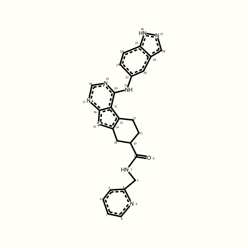 O=C(NCc1ccccn1)C1CCc2c(sc3ncnc(Nc4ccc5[nH]ncc5c4)c23)C1